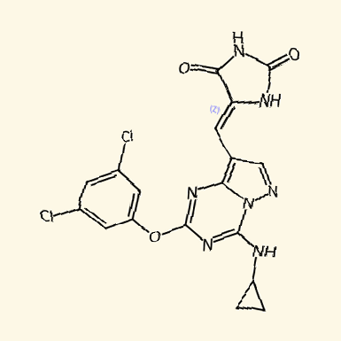 O=C1NC(=O)/C(=C/c2cnn3c(NC4CC4)nc(Oc4cc(Cl)cc(Cl)c4)nc23)N1